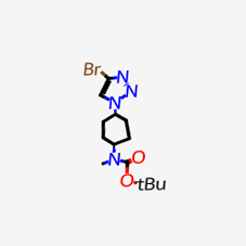 CN(C(=O)OC(C)(C)C)[C@H]1CC[C@@H](n2cc(Br)nn2)CC1